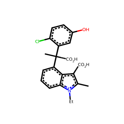 CCn1c(C)c(C(=O)O)c2c(C(C)(C(=O)O)c3cc(O)ccc3Cl)cccc21